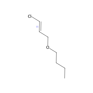 CCCCOC/C=C/Cl